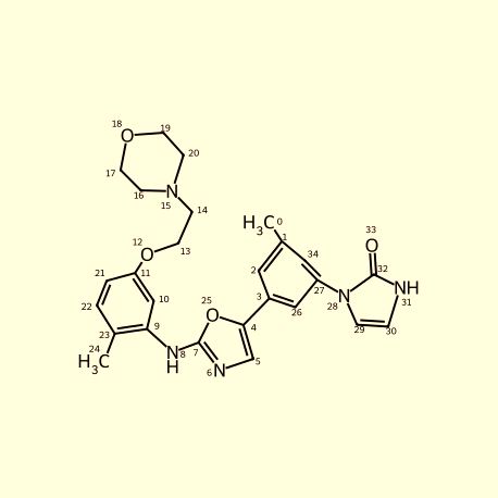 Cc1cc(-c2cnc(Nc3cc(OCCN4CCOCC4)ccc3C)o2)cc(-n2cc[nH]c2=O)c1